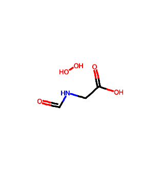 O=CNCC(=O)O.OO